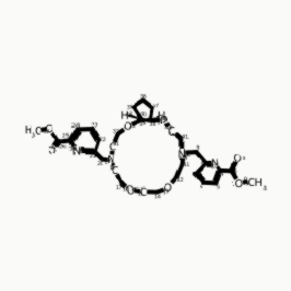 COC(=O)c1cccc(CN2CCOCCOCCN(Cc3cccc(C(=O)OC)n3)CCO[C@@H]3CCC[C@H]3OCC2)n1